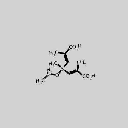 C[SiH2]O[Si](C)(C=C(C)C(=O)O)C=C(C)C(=O)O